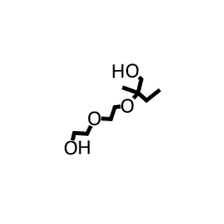 CCC(C)(CO)OCCOCCO